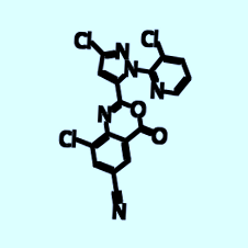 N#Cc1cc(Cl)c2nc(-c3cc(Cl)nn3-c3ncccc3Cl)oc(=O)c2c1